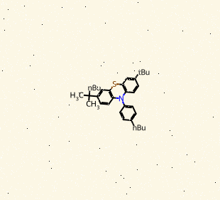 CCCCc1ccc(N2c3ccc(C(C)(C)C)cc3Sc3cc(C(C)(C)CCCC)ccc32)cc1